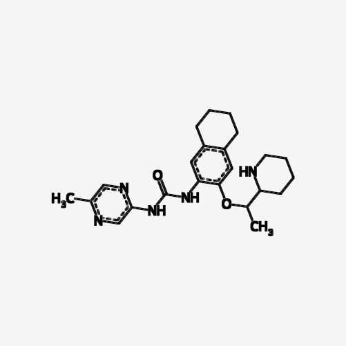 Cc1cnc(NC(=O)Nc2cc3c(cc2OC(C)C2CCCCN2)CCCC3)cn1